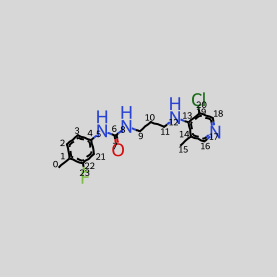 Cc1ccc(NC(=O)NCCCNc2c(C)cncc2Cl)cc1F